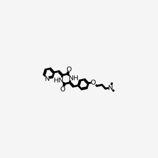 CN(C)CCCOc1ccc(C=c2[nH]c(=O)c(=Cc3cccnc3)[nH]c2=O)cc1